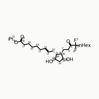 CCCCCCC(F)(F)C(=O)CC[C@@H]1[C@@H](CC=CCCCCCC(=O)OC(C)C)[C@@H](O)C[C@H]1O